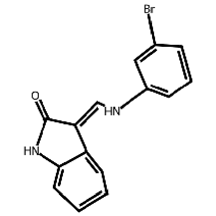 O=C1Nc2ccccc2/C1=C\Nc1cccc(Br)c1